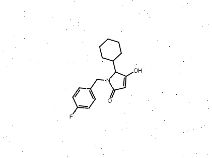 O=C1C=C(O)C(C2CCCCC2)N1Cc1ccc(F)cc1